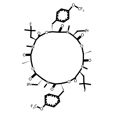 CC(C)C[C@@H]1C(=O)O[C@H](C)C(=O)N(C)[C@@H](CC(C)(C)F)C(=O)O[C@H](Cc2ccc(OC(F)(F)F)cc2)C(=O)N(C)[C@@H](CC(C)C)C(=O)O[C@H](C)C(=O)N(C)[C@@H](CC(C)(C)F)C(=O)O[C@H](Cc2ccc(OC(F)(F)F)cc2)C(=O)N1C